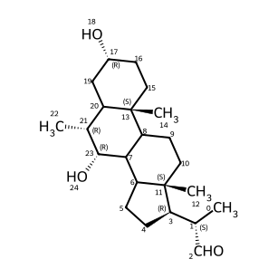 C[C@H](C=O)[C@H]1CCC2C3C(CC[C@@]21C)[C@@]1(C)CC[C@@H](O)CC1[C@@H](C)[C@H]3O